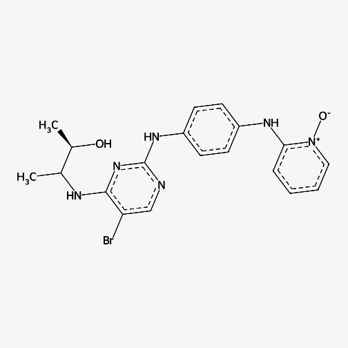 CC(Nc1nc(Nc2ccc(Nc3cccc[n+]3[O-])cc2)ncc1Br)[C@@H](C)O